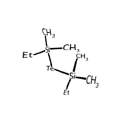 CC[Si](C)(C)[Te][Si](C)(C)CC